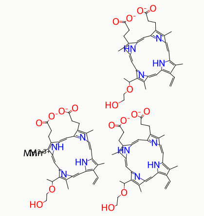 C=Cc1c(C)c2cc3nc(cc4[nH]c(cc5nc(cc1[nH]2)C(C)=C5C(C)OCCO)c(C)c4CCC(=O)[O-])C(CCC(=O)[O-])=C3C.C=Cc1c(C)c2cc3nc(cc4[nH]c(cc5nc(cc1[nH]2)C(C)=C5C(C)OCCO)c(C)c4CCC(=O)[O-])C(CCC(=O)[O-])=C3C.C=Cc1c(C)c2cc3nc(cc4[nH]c(cc5nc(cc1[nH]2)C(C)=C5C(C)OCCO)c(C)c4CCC(=O)[O-])C(CCC(=O)[O-])=C3C.[Mn+3].[Mn+3]